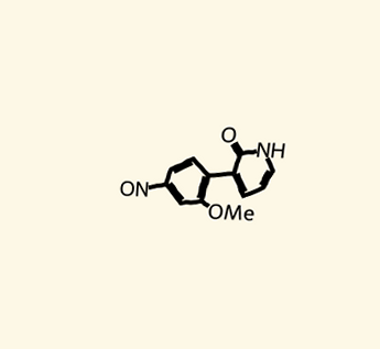 COc1cc(N=O)ccc1-c1ccc[nH]c1=O